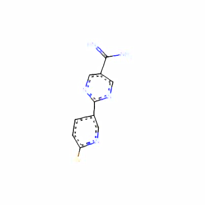 N=C(N)c1cnc(-c2ccc(Br)nc2)nc1